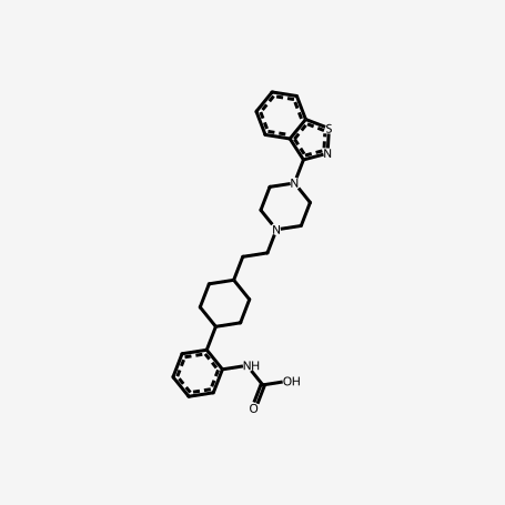 O=C(O)Nc1ccccc1C1CCC(CCN2CCN(c3nsc4ccccc34)CC2)CC1